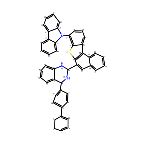 C1=CCCC(c2ccc(C3NC(c4cc5ccccc5c5c4sc4c(-n6c7ccccc7c7ccccc76)cccc45)Nc4ccccc43)cc2)=C1